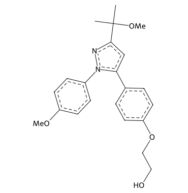 COc1ccc(-n2nc(C(C)(C)OC)cc2-c2ccc(OCCO)cc2)cc1